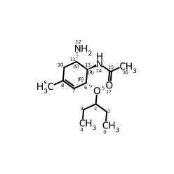 CCC(CC)O[C@@H]1C=C(C)C[C@H](N)[C@H]1NC(C)=O